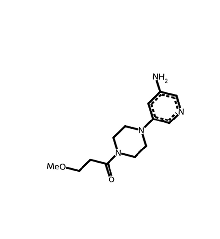 COCCC(=O)N1CCN(c2cncc(N)c2)CC1